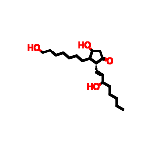 CCCCCC(O)/C=C/[C@H]1C(=O)CC(O)C1CCCCCCCO